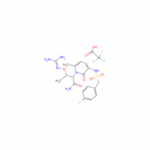 Cc1ccc(NS(=O)(=O)Cc2ccc(F)cc2)c(=O)n1C(C(N)=O)C(C)ON=C(N)N.O=C(O)C(F)(F)F